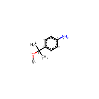 CCOC(C)(C)c1ccc(N)cc1